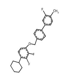 Cc1ccc(-c2ccc(COc3ccc(C4CCCCC4)c(F)c3F)cc2)cc1F